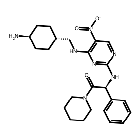 N[C@H]1CC[C@H](CNc2nc(N[C@H](C(=O)N3CCCCC3)c3ccccc3)ncc2[N+](=O)[O-])CC1